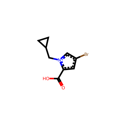 O=C(O)c1cc(Br)cn1CC1CC1